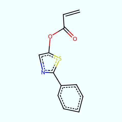 C=CC(=O)Oc1cnc(-c2ccccc2)s1